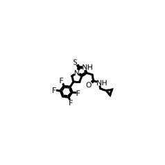 O=C(Cc1[nH]c(=S)n2c1CC(c1c(F)c(F)cc(F)c1F)C2)NCC1CC1